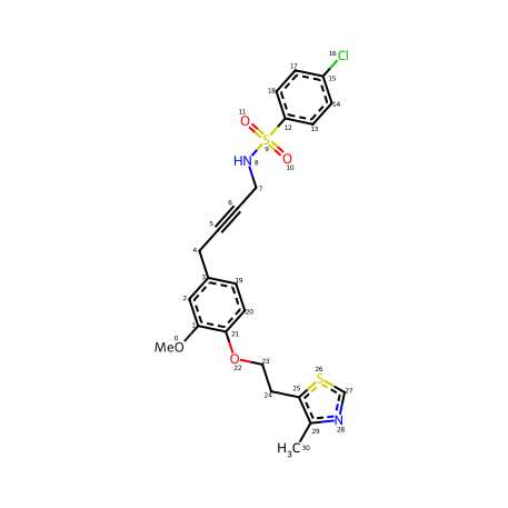 COc1cc(CC#CCNS(=O)(=O)c2ccc(Cl)cc2)ccc1OCCc1scnc1C